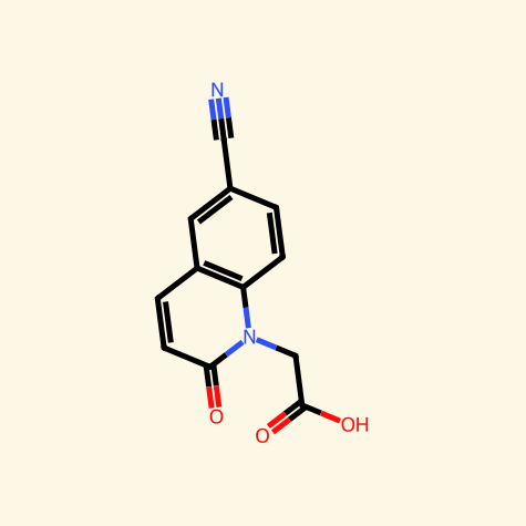 N#Cc1ccc2c(ccc(=O)n2CC(=O)O)c1